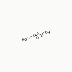 C=C(C(=O)OCCCCO)C1OC1CO